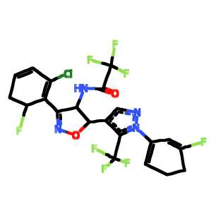 O=C(NC1C(C2=C(Cl)C=CCC2F)=NOC1c1cnn(C2=CCCC(F)=C2)c1C(F)(F)F)C(F)(F)F